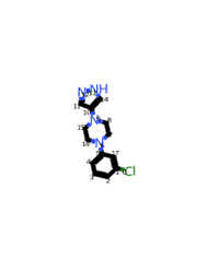 Clc1cccc(N2CCN(c3cn[nH]c3)CC2)c1